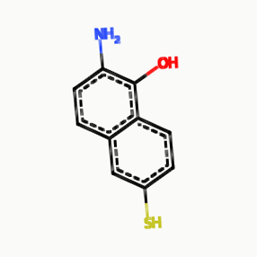 Nc1ccc2cc(S)ccc2c1O